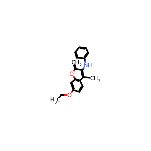 C=C1Oc2cc(OCC)ccc2C(C)=C1Nc1ccccc1